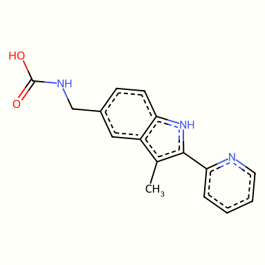 Cc1c(-c2ccccn2)[nH]c2ccc(CNC(=O)O)cc12